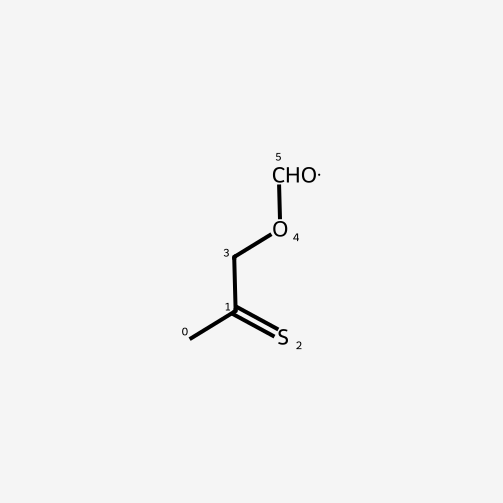 CC(=S)CO[C]=O